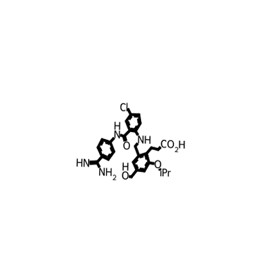 CC(C)Oc1cc(CO)cc(CNc2ccc(Cl)cc2C(=O)Nc2ccc(C(=N)N)cc2)c1CCC(=O)O